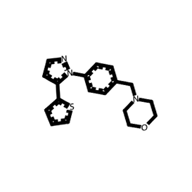 c1csc(-c2ccnn2-c2ccc(CN3CCOCC3)cc2)c1